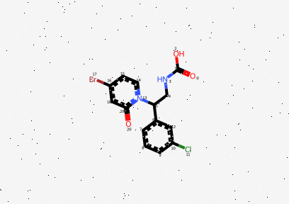 O=C(O)NCC(c1cccc(Cl)c1)n1ccc(Br)cc1=O